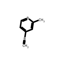 C=Bc1ccbc(C)c1